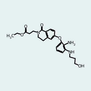 CCOC(=O)CCN1CCc2cc(Oc3cccc(NCCCO)c3N)ccc2C1=O